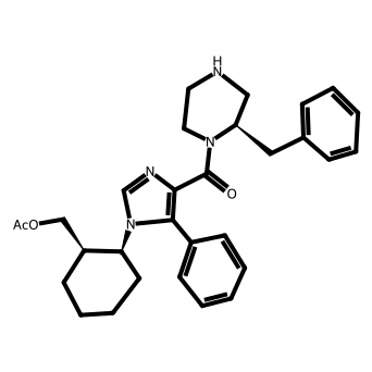 CC(=O)OC[C@@H]1CCCC[C@@H]1n1cnc(C(=O)N2CCNC[C@H]2Cc2ccccc2)c1-c1ccccc1